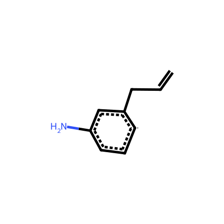 C=CCc1[c]ccc(N)c1